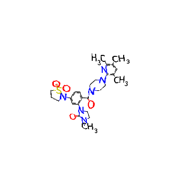 Cc1cc(C)c(N2CCN(C(=O)c3ccc(N4CCCS4(=O)=O)cc3N3CCN(C)C3=O)CC2)nc1C